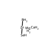 [BH2][Zn][SeH].[CaH2].[MgH2]